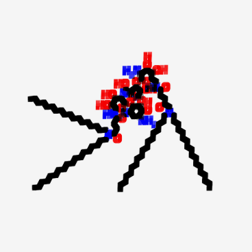 CCCCCCCCCCCCCCCCCCN(CCCCCCCCCCCCCCCCCC)CC(=O)CCC(=O)NCC1O[C@H](O[C@@H]2C(O)[C@H](O[C@@H]3C(O)[C@H](N)CC(N)[C@H]3O[C@H]3OC(NC(=O)CCC(=O)N(CCCCCCCCCCCCCCCCCC)CCCCCCCCCCCCCCCCCC)[C@@H](O)[C@H](O)C3N)O[C@@H]2CO)[C@H](N)C(O)[C@@H]1O